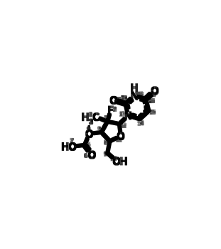 CC1(F)C(OC(=O)O)C(CO)OC1n1ccc(=O)[nH]c1=O